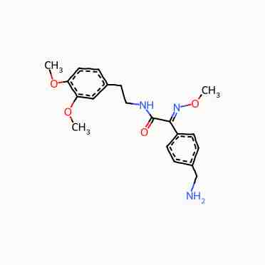 CON=C(C(=O)NCCc1ccc(OC)c(OC)c1)c1ccc(CN)cc1